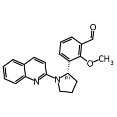 COc1c(C=O)cccc1[C@@H]1CCCN1c1ccc2ccccc2n1